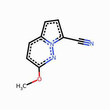 COc1ccc2ccc(C#N)n2n1